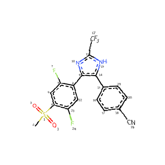 CS(=O)(=O)c1cc(F)c(-c2nc(C(F)(F)F)[nH]c2-c2ccc(C#N)cc2)cc1F